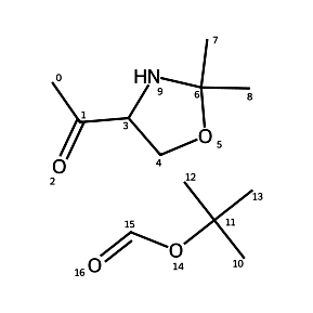 CC(=O)C1COC(C)(C)N1.CC(C)(C)OC=O